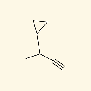 C#CC(C)C1[CH]C1